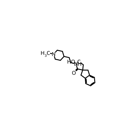 CN1CCC(CCNC(=O)C2(CC(=O)O)Cc3ccccc3C2)CC1